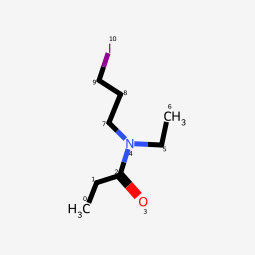 CCC(=O)N(CC)CCCI